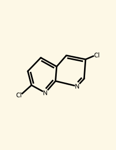 Clc1cnc2nc(Cl)ccc2c1